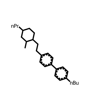 CCCCc1ccc(-c2ccc(CCC3CCC(CCC)CC3C)cc2)cc1